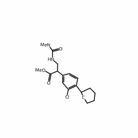 CNC(=O)NCC(C(=O)OC)c1ccc(C2CCCCC2)c(Cl)c1